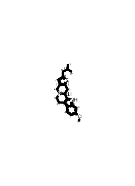 COc1ccc2c3c([nH]c2c1)[C@@H]1Cc2sc(CC(C)C)cc2CN1CC3